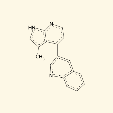 Cc1c[nH]c2nccc(-c3cnc4ccccc4c3)c12